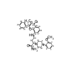 COc1ccccc1N1CCN(C(CCNc2cccc3c(=O)c(C)c(-c4ccccc4)oc23)C(N)=O)CC1